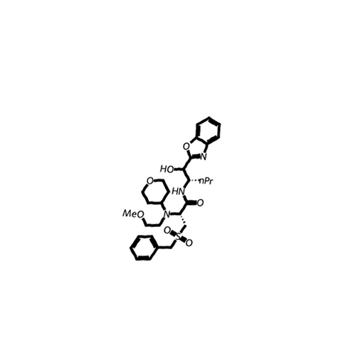 CCC[C@H](NC(=O)[C@H](CS(=O)(=O)Cc1ccccc1)N(CCOC)C1CCOCC1)C(O)c1nc2ccccc2o1